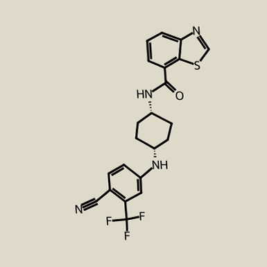 N#Cc1ccc(N[C@H]2CC[C@@H](NC(=O)c3cccc4ncsc34)CC2)cc1C(F)(F)F